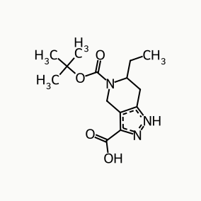 CCC1Cc2[nH]nc(C(=O)O)c2CN1C(=O)OC(C)(C)C